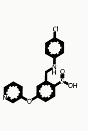 O=S(O)c1ccc(Oc2cccnc2)cc1CNc1ccc(Cl)cc1